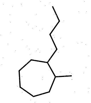 CCCCC1CCCCCC1C